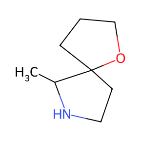 CC1NCCC12CCCO2